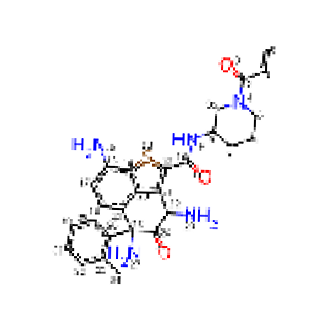 C=CC(=O)N1CCCC(NC(=O)c2sc3c(N)ccc4c3c2C(N)C(=O)C4(N)c2ccccc2C)C1